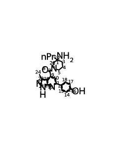 CCCC1(N)CCCN(C(=O)c2cc(-c3ccc(O)cc3)nc3[nH]nc(C)c23)C1